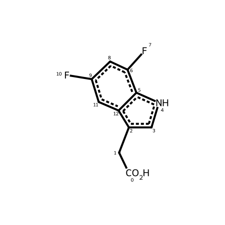 O=C(O)Cc1c[nH]c2c(F)cc(F)cc12